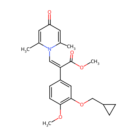 COC(=O)/C(=C\n1c(C)cc(=O)cc1C)c1ccc(OC)c(OCC2CC2)c1